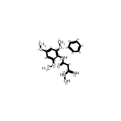 COc1cc(OC)c(NC(=O)CC(=N)NO)c(OC)c1.c1ccccc1